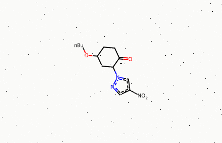 CCCCOC1CCC(=O)C(n2cc([N+](=O)[O-])cn2)C1